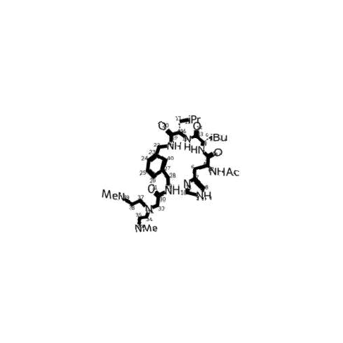 CCC(C)[C@H](NC(=O)[C@H](Cc1c[nH]cn1)NC(C)=O)C(=O)N[C@@H](CC(C)C)C(=O)NCc1cccc(CNC(=O)CN(CCNC)CCNC)c1